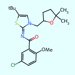 COc1ccc(Cl)cc1C(=O)N=c1sc(C(C)(C)C)cn1CC1CCC(C)(C)O1